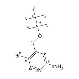 CC(C)(C)[Si](C)(C)OCc1cc(N)ncc1Br